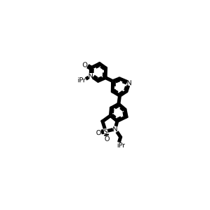 CC(C)CN1c2ccc(-c3cncc(-c4ccc(=O)n(C(C)C)c4)c3)cc2CS1(=O)=O